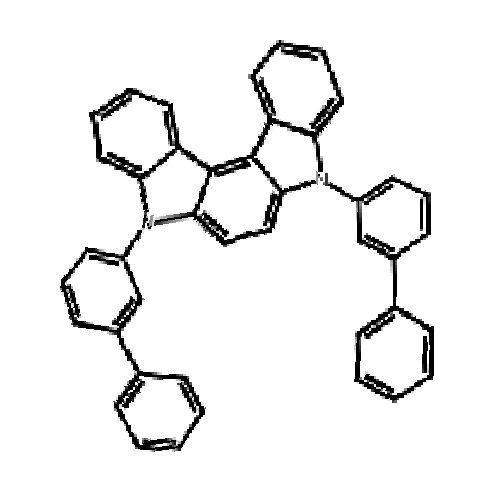 c1ccc(-c2cccc(-n3c4ccccc4c4c5c6ccccc6n(-c6cccc(-c7ccccc7)c6)c5ccc43)c2)cc1